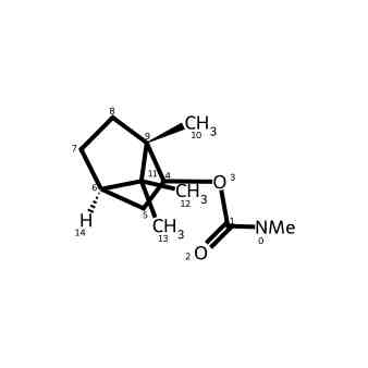 CNC(=O)OC1C[C@H]2CC[C@@]1(C)C2(C)C